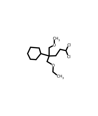 CCOCC(CCC(Cl)Cl)(COC)C1CCCCC1